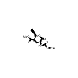 C#CC[C@@H](C[C@H](NC(=O)OC(C)(C)C)C(=O)OC)C(=O)OC